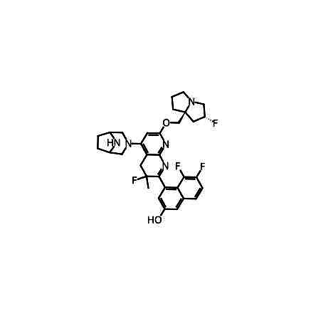 CC1(F)Cc2c(N3CC4CCC(C3)N4)cc(OC[C@@]34CCCN3C[C@H](F)C4)nc2N=C1c1cc(O)cc2ccc(F)c(F)c12